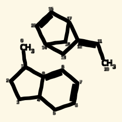 CC1CCC2CC=CC=C12.CC=C1CC2C=CC1C2